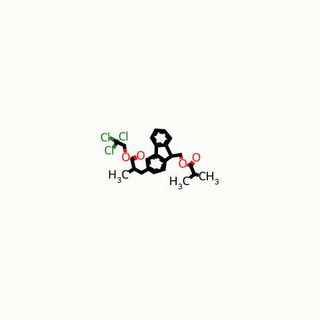 CC(C)C(=O)OCC1c2ccccc2-c2cc(CC(C)C(=O)OCC(Cl)(Cl)Cl)ccc21